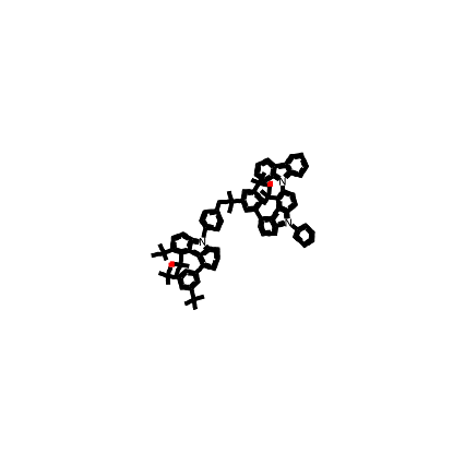 CC(C)(C)c1cc(-c2cccc3c2c2c(C(C)(C)C)c(C(C)(C)C)ccc2n3-c2ccc(CC(C)(C)c3cc(-c4cccc5c4c4c(C(C)(C)C)c(-n6c7ccccc7c7ccccc76)ccc4n5-c4ccccc4)cc(C(C)(C)C)c3)cc2)cc(C(C)(C)C)c1